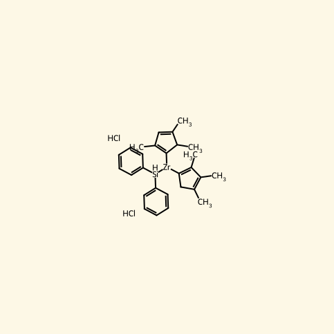 CC1=CC(C)=[C]([Zr]([C]2=C(C)C(C)=C(C)C2)[SiH](c2ccccc2)c2ccccc2)C1C.Cl.Cl